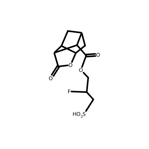 O=C(OCC(F)CS(=O)(=O)O)C1C2CC3OC(=O)C1C3C2